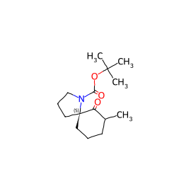 CC1CCC[C@]2(CCCN2C(=O)OC(C)(C)C)C1=O